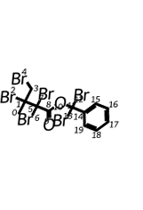 CC(Br)(CBr)C(Br)(Br)C(=O)OC(Br)(Br)c1ccccc1